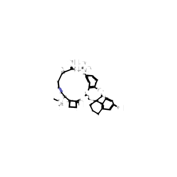 C[C@@H]1CC/C=C/[C@H](N(C)C)[C@@H]2CC[C@H]2CN2C[C@@]3(CCCc4cc(Cl)ccc43)COc3ccc(cc32)S(=O)(=O)NC1=O